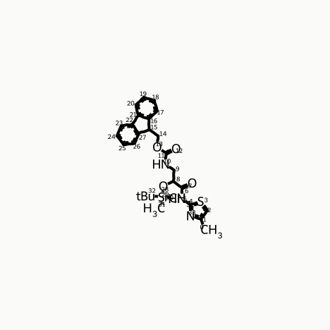 Cc1csc(NC(=O)C(CNC(=O)OCC2c3ccccc3-c3ccccc32)O[Si](C)(C)C(C)(C)C)n1